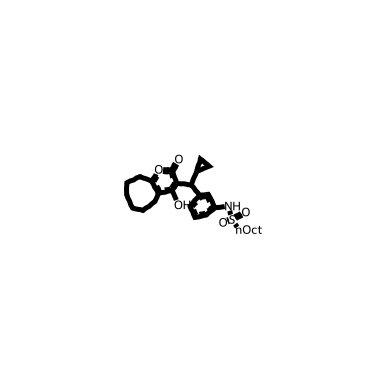 CCCCCCCCS(=O)(=O)Nc1cccc(C(c2c(O)c3c(oc2=O)CCCCCC3)C2CC2)c1